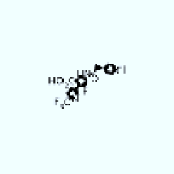 O=C(O)c1cc(NC(=O)[C@@H]2C[C@H]2c2ccc(Cl)cc2)cc(F)c1-c1ccc(C(F)(F)F)nc1